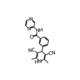 CC1=C(C#N)C(c2cccc(C(=O)Nc3cnccn3)c2)C(C#N)=C(C)N1